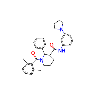 Cc1cccc(C)c1C(=O)N1CCCC(C(=O)Nc2cccc(N3CCCC3)c2)C1c1ccccc1